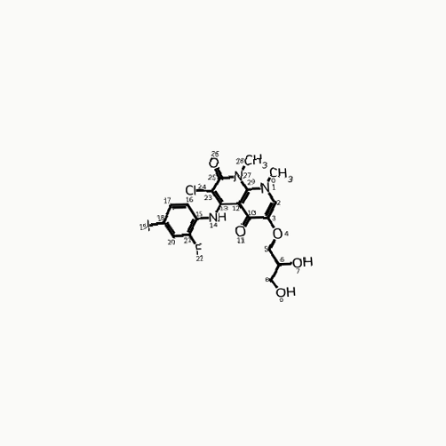 Cn1cc(OCC(O)CO)c(=O)c2c(Nc3ccc(I)cc3F)c(Cl)c(=O)n(C)c21